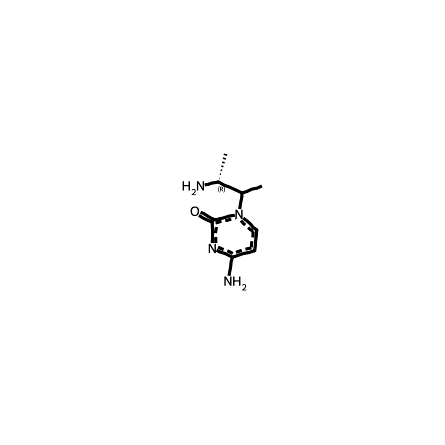 CC([C@@H](C)N)n1ccc(N)nc1=O